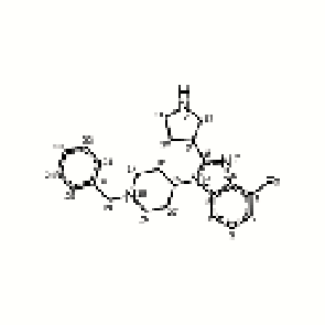 Fc1cccc2c1nc(C1CCNC1)n2C1CCN(Cc2ccccc2)CC1